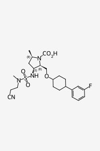 C[C@@H]1C[C@H](NS(=O)(=O)N(C)CCC#N)[C@H](COC2CCC(c3cccc(F)c3)CC2)N1C(=O)O